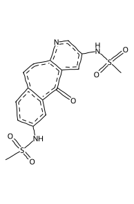 CS(=O)(=O)Nc1ccc2ccc3ncc(NS(C)(=O)=O)cc3c(=O)c2c1